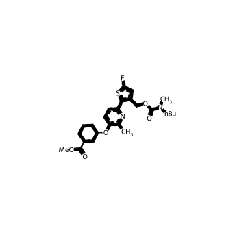 CCCCN(C)C(=O)OCc1cc(F)sc1-c1ccc(O[C@H]2CCC[C@H](C(=O)OC)C2)c(C)n1